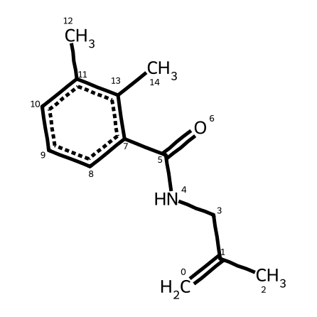 C=C(C)CNC(=O)c1cccc(C)c1C